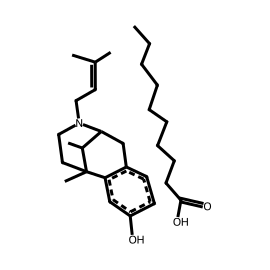 CC(C)=CCN1CCC2(C)c3cc(O)ccc3CC1C2C.CCCCCCCCCC(=O)O